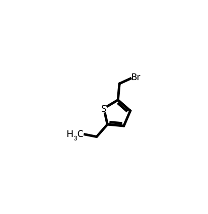 CCc1ccc(CBr)s1